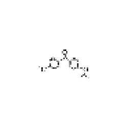 COc1ccc(C(=O)c2ccc(OC(C)C)cc2)cc1